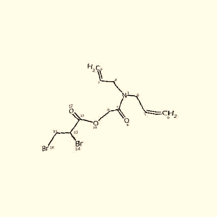 C=CCN(CC=C)C(=O)COC(=O)C(Br)CBr